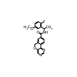 COc1ccc(F)c(C(C)NC(=O)c2ccc3c(c2)COc2cncnc2-3)c1